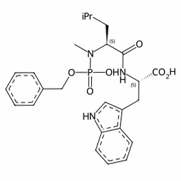 CC(C)C[C@@H](C(=O)N[C@@H](Cc1c[nH]c2ccccc12)C(=O)O)N(C)P(=O)(O)OCc1ccccc1